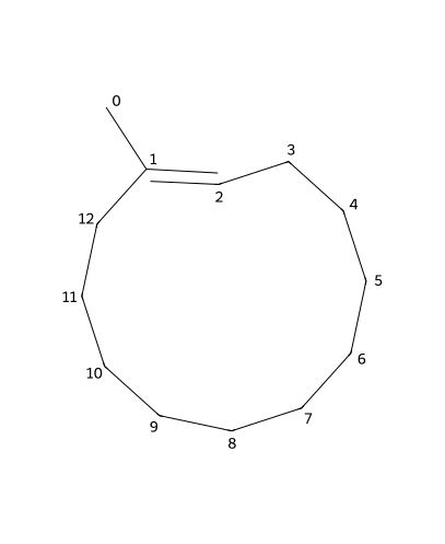 C/C1=C\CCCCCCCCCC1